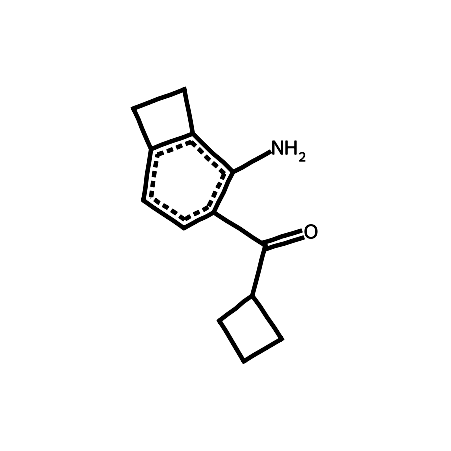 Nc1c(C(=O)C2CCC2)ccc2c1CC2